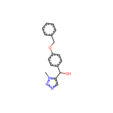 Cn1nncc1C(O)c1ccc(OCc2ccccc2)cc1